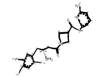 Cc1cccc(NC(=O)C2CN(C(=O)C[C@H](N)Cc3cc(F)c(F)cc3F)C2)n1